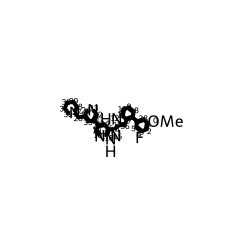 COc1cc(F)cc(-c2cccc3[nH]c(-c4n[nH]c5ncc(-c6cncc(CN7CCCCC7)c6)cc45)cc23)c1